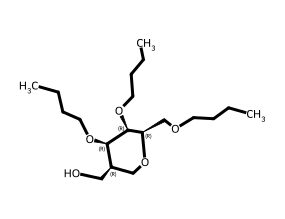 CCCCOC[C@H]1OC[C@@H](CO)[C@@H](OCCCC)[C@H]1OCCCC